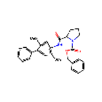 COc1cc(-c2ccccc2)c(OC)cc1NC(=O)C1CCCN1C(=O)OCc1ccccc1